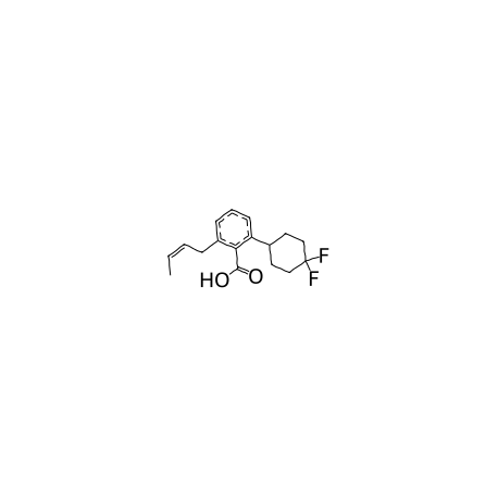 C/C=C\Cc1cccc(C2CCC(F)(F)CC2)c1C(=O)O